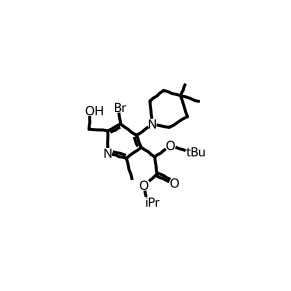 Cc1nc(CO)c(Br)c(N2CCC(C)(C)CC2)c1C(OC(C)(C)C)C(=O)OC(C)C